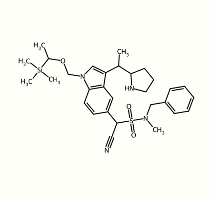 CC(c1cn(COC(C)[Si](C)(C)C)c2ccc(C(C#N)S(=O)(=O)N(C)Cc3ccccc3)cc12)C1CCCN1